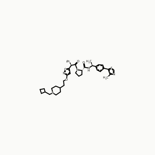 Cc1ncsc1-c1ccc([C@H](C)NC(=O)[C@@H]2CCCN2C(=O)[C@@H](c2cc(OCCC3CCN(CC4CCC4)CC3)no2)C(C)C)cc1